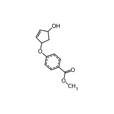 COC(=O)c1ccc(OC2C=CC(O)C2)cc1